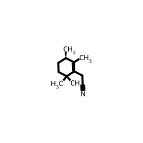 CC1=C(CC#N)C(C)(C)CC[C@H]1C